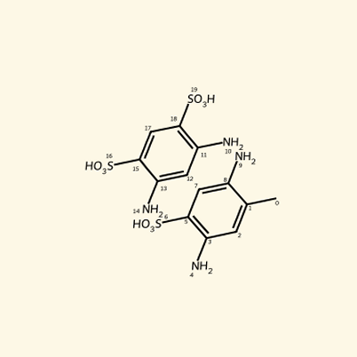 Cc1cc(N)c(S(=O)(=O)O)cc1N.Nc1cc(N)c(S(=O)(=O)O)cc1S(=O)(=O)O